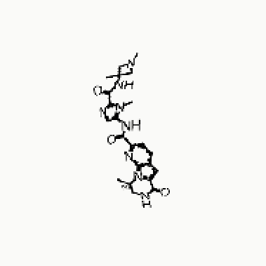 C[C@@H]1CNC(=O)c2cc3ccc(C(=O)Nc4cnc(C(=O)NC5(C)CN(C)C5)n4C)nc3n21